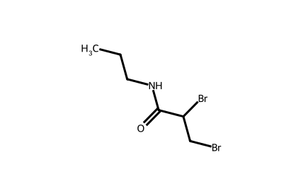 CCCNC(=O)C(Br)CBr